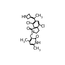 CC(=C1CNC1)c1cc(Cl)c2c(c1Cl)C(=O)N(Cc1c(C)cc(C)[nH]c1=O)CC2